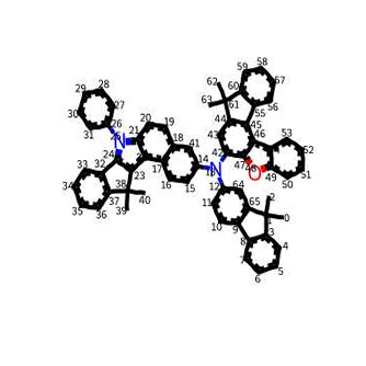 CC1(C)c2ccccc2-c2ccc(N(c3ccc4c(ccc5c4c4c(n5-c5ccccc5)-c5ccccc5C4(C)C)c3)c3cc4c(c5c3oc3ccccc35)-c3ccccc3C4(C)C)cc21